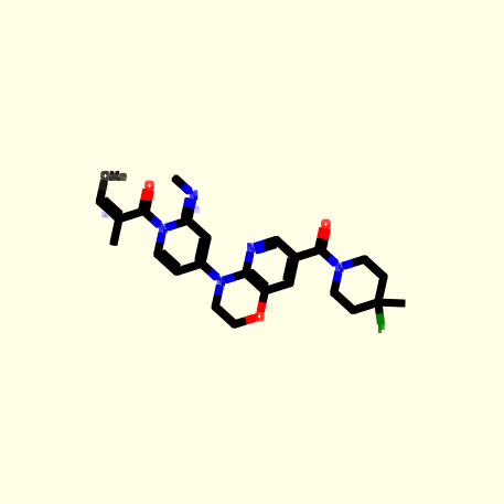 C/N=c1/cc(N2CCOc3cc(C(=O)N4CCC(C)(F)CC4)cnc32)ccn1C(=O)/C(C)=C\OC